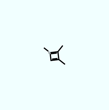 CC1=C[Si](C)=C1C